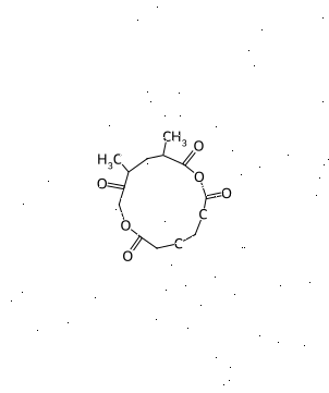 CC1CC(C)C(=O)OC(=O)CCCCC(=O)OCC1=O